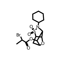 CC(Br)C(=O)OC1C2CC3C(O2)C1N(C1CCCCC1)S3(=O)=O